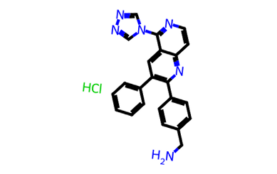 Cl.NCc1ccc(-c2nc3ccnc(-n4cnnc4)c3cc2-c2ccccc2)cc1